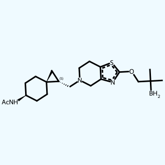 BC(C)(C)COc1nc2c(s1)CCN(C[C@H]1C[C@]13CC[C@@H](NC(C)=O)CC3)C2